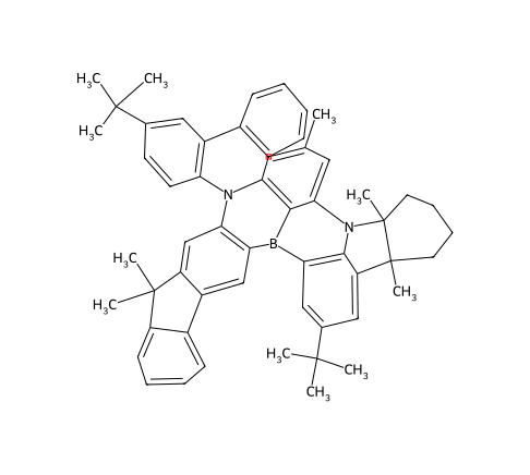 Cc1cc2c3c(c1)N1c4c(cc(C(C)(C)C)cc4C4(C)CCCCC14C)B3c1cc3c(cc1N2c1ccc(C(C)(C)C)cc1-c1ccccc1)C(C)(C)c1ccccc1-3